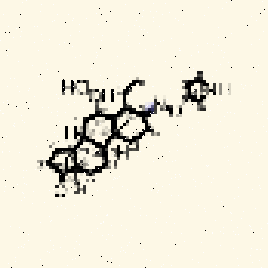 CC[C@H]1/C(=N/O[C@@H]2CCNC2)CC[C@@]2(C)C1[C@@H](O)C[C@@H]1[C@@H]2CC[C@]2(C)C(=O)CC[C@@H]12.Cl